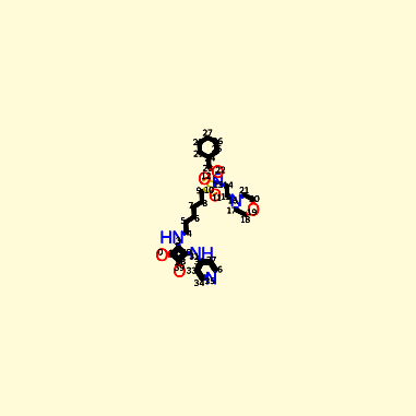 O=c1c(NCCCCCCS(=O)(=O)N(CCN2CCOCC2)OCC2CCCCC2)c(Nc2ccncc2)c1=O